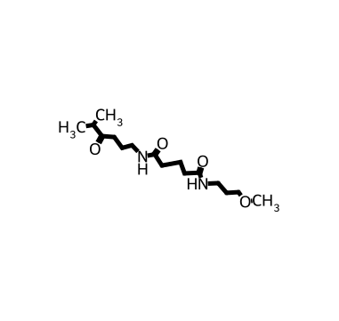 COCCCNC(=O)CCCC(=O)NCCCC(=O)C(C)C